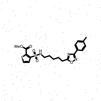 COC(=O)c1sccc1S(=O)(=O)NCCCCCc1nc(-c2ccc(C)cc2)no1